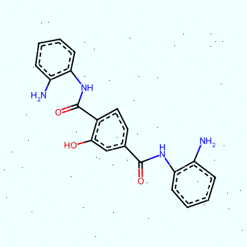 Nc1ccccc1NC(=O)c1ccc(C(=O)Nc2ccccc2N)c(O)c1